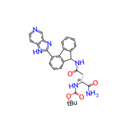 CC(C)(C)OC(=O)N[C@H](CC(=O)NC1c2ccccc2-c2c(-c3nc4cnccc4[nH]3)cccc21)C(N)=O